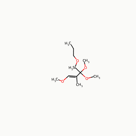 CCCO[SiH2]C(OC)(OC)/C(C)=C/OC